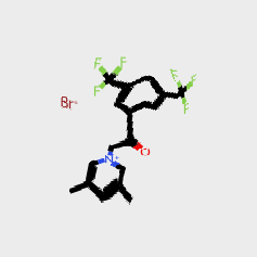 Cc1cc(C)c[n+](CC(=O)c2cc(C(F)(F)F)cc(C(F)(F)F)c2)c1.[Br-]